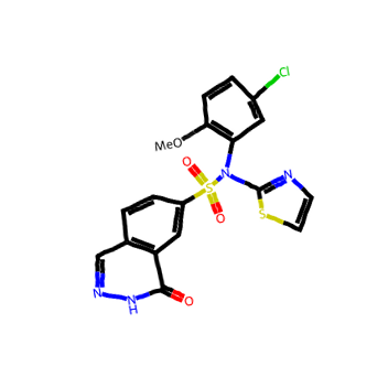 COc1ccc(Cl)cc1N(c1nccs1)S(=O)(=O)c1ccc2cn[nH]c(=O)c2c1